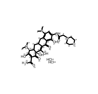 CN(C)c1cc(NC(=O)CN2CCOCC2)c(O)c2c1CC1CC3[C@H](N(C)C)C(O)=C(C(N)=O)C(=O)[C@@]3(O)C(O)=C1C2=O.Cl.Cl